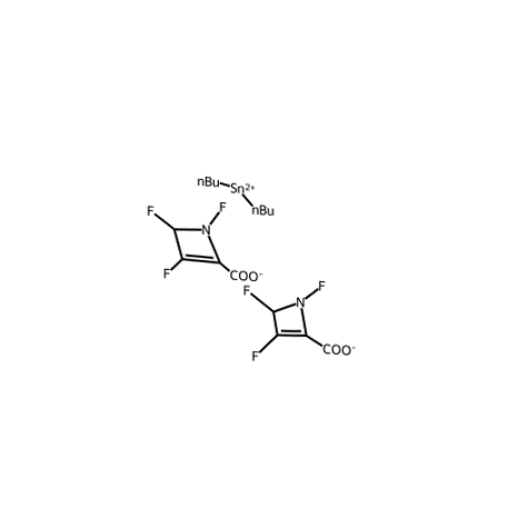 CCC[CH2][Sn+2][CH2]CCC.O=C([O-])C1=C(F)C(F)N1F.O=C([O-])C1=C(F)C(F)N1F